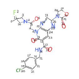 CC1(F)CN(C(=O)Cn2c(=O)c(C(=O)NCc3ccc(Cl)cc3)cc3nc(N4CCOC4=O)cnc32)C1